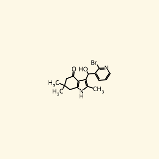 Cc1[nH]c2c(c1C(O)c1cccnc1Br)C(=O)CC(C)(C)C2